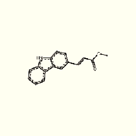 COC(=O)/C=C/c1ccc2[nH]c3ccccc3c2c1